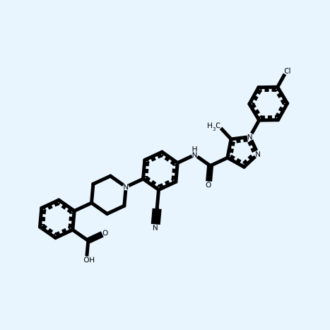 Cc1c(C(=O)Nc2ccc(N3CCC(c4ccccc4C(=O)O)CC3)c(C#N)c2)cnn1-c1ccc(Cl)cc1